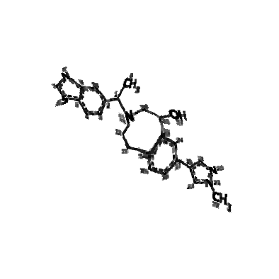 CC(c1ccc2scnc2c1)N1CCc2ccc(-c3cnn(C)c3)cc2C(O)C1